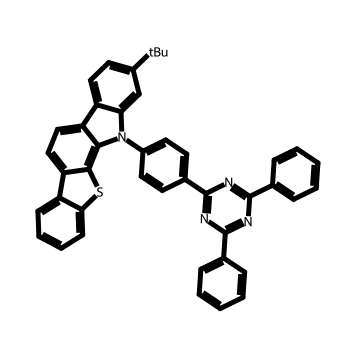 CC(C)(C)c1ccc2c3ccc4c5ccccc5sc4c3n(-c3ccc(-c4nc(-c5ccccc5)nc(-c5ccccc5)n4)cc3)c2c1